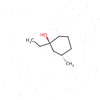 CC[C@]1(O)CCC[C@H](C)C1